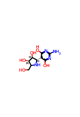 Nc1nc(O)c([C@@H]2NC(CO)[C@@H](O)[C@H]2O)c(O)n1